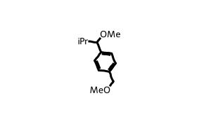 COCc1ccc(C(OC)C(C)C)cc1